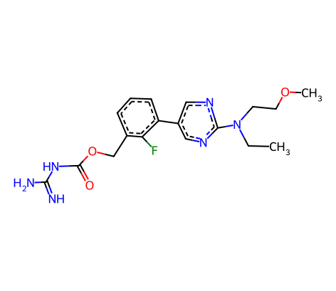 CCN(CCOC)c1ncc(-c2cccc(COC(=O)NC(=N)N)c2F)cn1